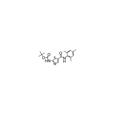 Cc1cc(C)c(NC(=O)c2cnc(NC(=O)OC(C)(C)C)s2)c(C)c1